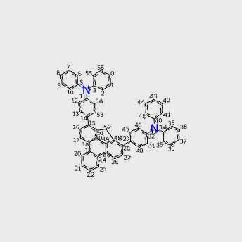 c1ccc(N(c2ccccc2)c2ccc(-c3ccc4c5ccccc5c5ccc(-c6ccc(N(c7ccccc7)c7ccccc7)cc6)c6c5c4c3C6)cc2)cc1